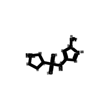 CCCn1cc(NS(=O)(=O)C2CCNC2)cn1